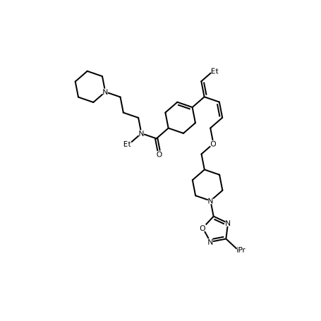 CC/C=C(\C=C/COCC1CCN(c2nc(C(C)C)no2)CC1)C1=CCC(C(=O)N(CC)CCCN2CCCCC2)CC1